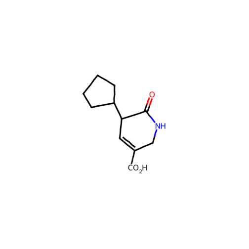 O=C(O)C1=CC(C2CCCC2)C(=O)NC1